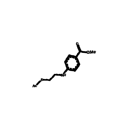 COC(=O)c1ccc(NCCSC(C)=O)cc1